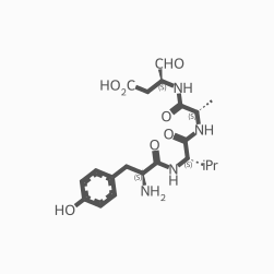 CC(C)[C@H](NC(=O)[C@@H](N)Cc1ccc(O)cc1)C(=O)N[C@@H](C)C(=O)N[C@H](C=O)CC(=O)O